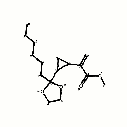 C=C(C(=O)OC)C1CC1C1(CCCCCC)OCCO1